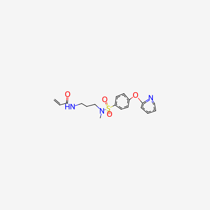 C=CC(=O)NCCCN(C)S(=O)(=O)c1ccc(Oc2ccccn2)cc1